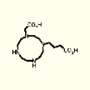 O=C(O)CCCN1CCNCCNCCN(CC(=O)O)CC1